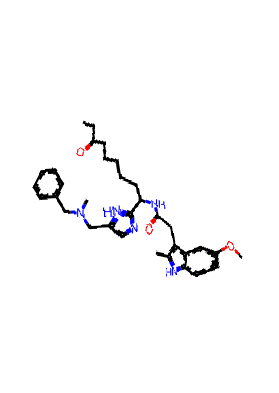 CCC(=O)CCCCCC(NC(=O)Cc1c(C)[nH]c2ccc(OC)cc12)c1ncc(CN(C)Cc2ccccc2)[nH]1